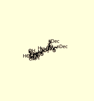 CCCCCCCCCCCCC(=O)OC[C@H](CSC[C@@H](N)C(=O)Nc1cn(C2OC(CO)C(O)C(O)C2O)nn1)OC(=O)CCCCCCCCCCCC